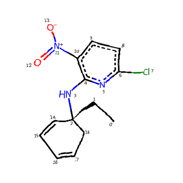 CC[C@]1(Nc2nc(Cl)ccc2[N+](=O)[O-])C=CC=CC1